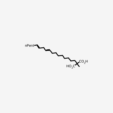 CCCCCC=CCC=CCCCCCCCCC(C)(C(=O)O)C(=O)O